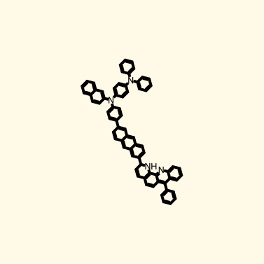 C1=CC(c2ccc3cc4cc(-c5ccc(N(c6ccc(N(c7ccccc7)c7ccccc7)cc6)c6ccc7ccccc7c6)cc5)ccc4cc3c2)Nc2c1ccc1c(-c3ccccc3)c3ccccc3nc21